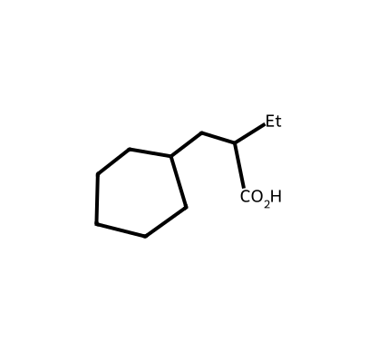 CCC(CC1CCCCC1)C(=O)O